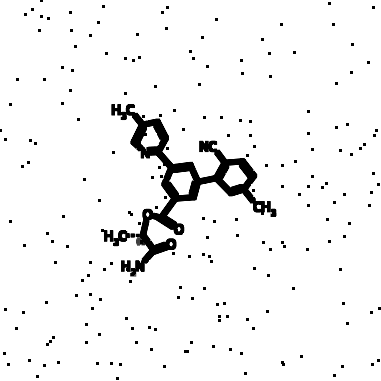 Cc1ccc(-c2cc(C(=O)O[C@@H](C)C(N)=O)cc(-c3cc(C)ccc3C#N)c2)nc1